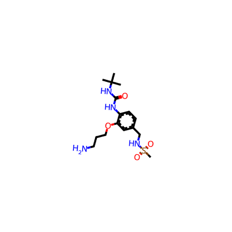 CC(C)(C)NC(=O)Nc1ccc(CNS(C)(=O)=O)cc1OCCCN